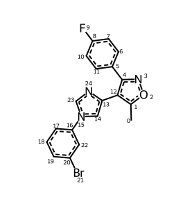 Cc1onc(-c2ccc(F)cc2)c1-c1cn(-c2cccc(Br)c2)cn1